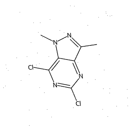 Cc1nn(C)c2c(Cl)nc(Cl)nc12